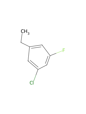 CCc1cc(F)cc(Cl)c1